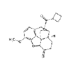 COc1ccc2c3c1OC1C(=O)CC[C@@H]4C(C2)N(C(=O)C2CCC2)CC[C@@]314